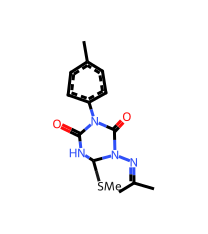 CSC1NC(=O)N(c2ccc(C)cc2)C(=O)N1N=C(C)C